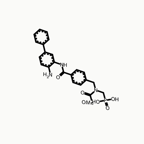 COC(=O)N(Cc1ccc(C(=O)Nc2cc(-c3ccccc3)ccc2N)cc1)CP(=O)(O)O